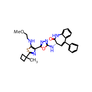 COCCNc1sc(C2(C)CCC2)nc1-c1nnc(N[C@H]2C=C(c3ccccc3)c3ccccc3NC2=O)o1